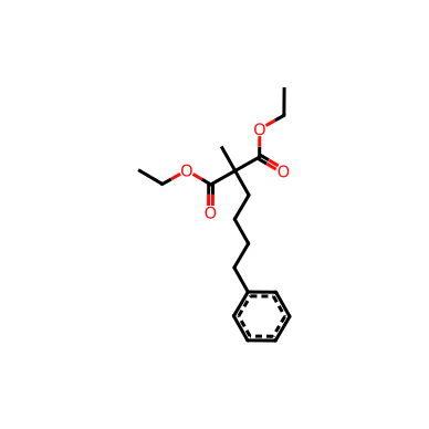 CCOC(=O)C(C)(CCCCc1ccccc1)C(=O)OCC